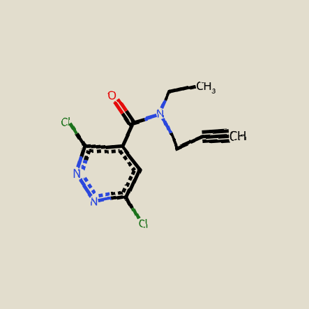 C#CCN(CC)C(=O)c1cc(Cl)nnc1Cl